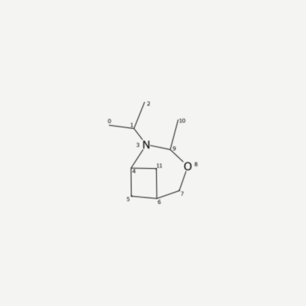 CC(C)N1C2CC(COC1C)C2